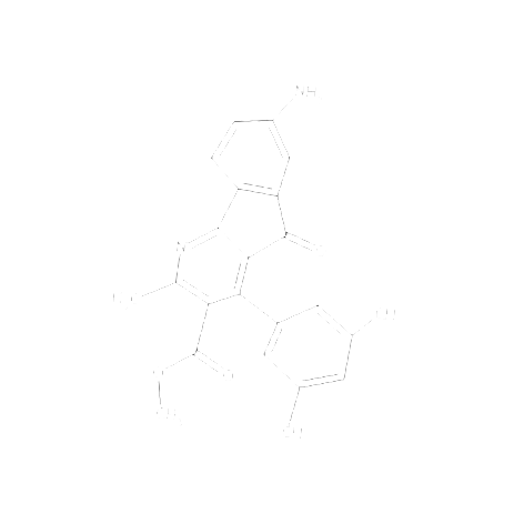 COC(=O)c1c(C)nc2c(c1-c1cc(C)cc(C)c1)C(=O)c1cc(N)ccc1-2